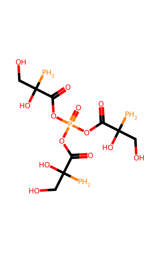 O=C(OP(=O)(OC(=O)C(O)(P)CO)OC(=O)C(O)(P)CO)C(O)(P)CO